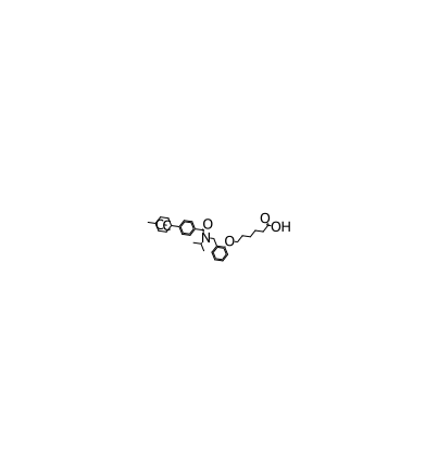 CC(C)N(Cc1ccccc1OCCCCCC(=O)O)C(=O)c1ccc(C23CCC(C)(CC2)CC3)cc1